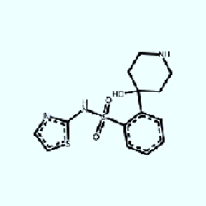 O=S(=O)(Nc1nccs1)c1ccccc1C1(O)CCNCC1